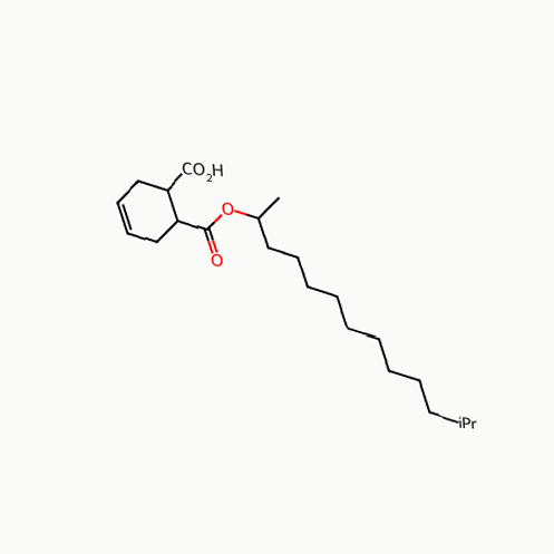 CC(C)CCCCCCCCCC(C)OC(=O)C1CC=CCC1C(=O)O